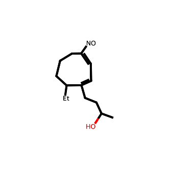 CCC1CCC/C(N=O)=C\C=C/1CCC(C)O